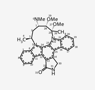 CN[C@H]1C[C@H](C)n2c3ccccc3c3c4c(c5c6ccccc6n(c5c32)[C@@](C)(OC)[C@H]1OC)CNC4=O